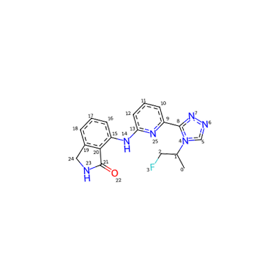 CC(CF)n1cnnc1-c1cccc(Nc2cccc3c2C(=O)NC3)n1